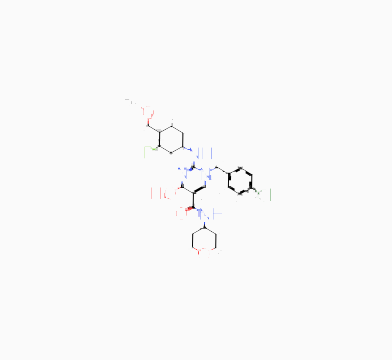 CC(C)OCC1CCC(NC2=NC(O)C(C(=O)NC3CCOCC3)=CN2Cc2ccc(Cl)cc2)CC1F